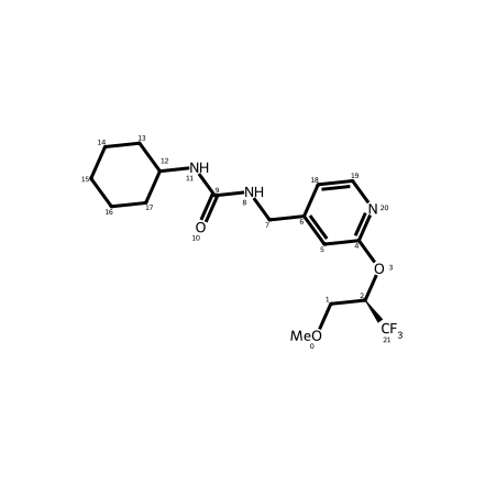 COC[C@@H](Oc1cc(CNC(=O)NC2CCCCC2)ccn1)C(F)(F)F